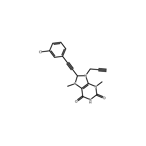 C#CCN1c2c(c(=O)[nH]c(=O)n2C)N(C)C1C#Cc1cccc(Cl)c1